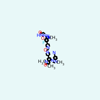 Cc1cc2c(N3CCN(C)c4ccc(C#N)cc43)cc(C3CCN(C(=O)CN4CCC(c5cc6c(cc5F)c(N5CCC(=O)NC5=O)nn6C)CC4)CC3)cc2n(C)c1=O